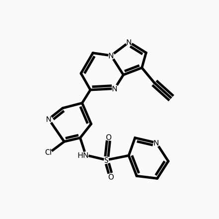 C#Cc1cnn2ccc(-c3cnc(Cl)c(NS(=O)(=O)c4cccnc4)c3)nc12